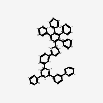 c1ccc(-c2cccc(-c3nc(-c4ccccc4)nc(-c4cccc(-c5cccc(-c6cc(-c7ccccc7)c(-c7ccccc7)c(-c7ccccc7)c6-c6ccccc6)n5)c4)n3)c2)cc1